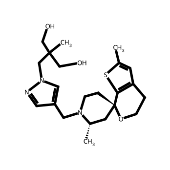 Cc1cc2c(s1)[C@]1(CCN(Cc3cnn(CC(C)(CO)CO)c3)[C@@H](C)C1)OCC2